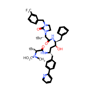 CN(C(=O)O)[C@H](C(=O)N[C@@H](Cc1ccc(-c2ccccn2)cc1)C[C@H](O)[C@H](Cc1ccccc1)NC(=O)[C@@H](N1CCN(Cc2cccc(C(F)(F)F)c2)C1=O)C(C)(C)C)C(C)(C)C